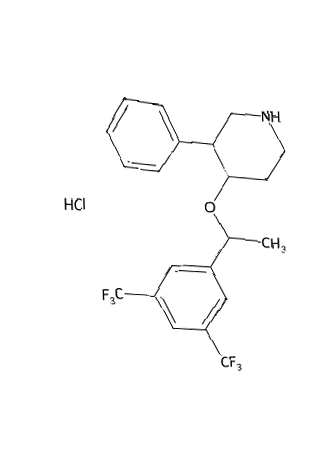 CC(OC1CCNCC1c1ccccc1)c1cc(C(F)(F)F)cc(C(F)(F)F)c1.Cl